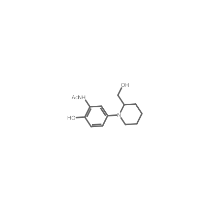 CC(=O)Nc1cc(N2CCCCC2CO)ccc1O